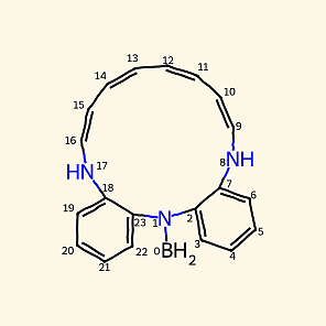 Bn1c2ccccc2[nH]cccccccc[nH]c2ccccc21